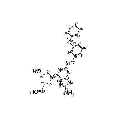 Nc1nc2nc(SCc3cccc(Oc4ccccc4)c3)nc(N(CCO)CCCO)c2s1